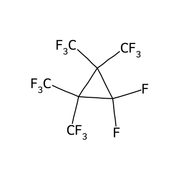 FC(F)(F)C1(C(F)(F)F)C(F)(F)C1(C(F)(F)F)C(F)(F)F